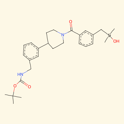 CC(C)(C)OC(=O)NCc1cccc(C2CCN(C(=O)c3cccc(C[Si](C)(C)O)c3)CC2)c1